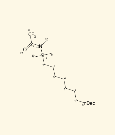 CCCCCCCCCCCCCCCCC[Si](C)(C)N(C)C(=O)C(F)(F)F